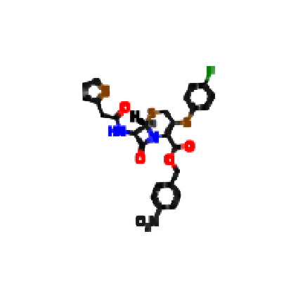 O=C(Cc1cccs1)NC1C(=O)N2C(C(=O)OCc3ccc([N+](=O)[O-])cc3)=C(Sc3ccc(F)cc3)CS[C@@H]12